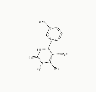 CCN1C(=O)NC(c2cccc(OC)c2)C(C(=O)O)=C1C